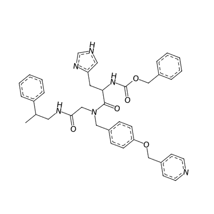 CC(CNC(=O)CN(Cc1ccc(OCc2ccncc2)cc1)C(=O)C(Cc1c[nH]cn1)NC(=O)OCc1ccccc1)c1ccccc1